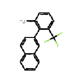 Cc1[c]ccc(C(F)(F)F)c1-c1ccc2ccccc2c1